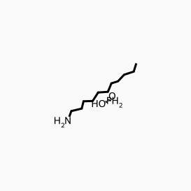 CCCCCCCCCCCN.O=[PH2]O